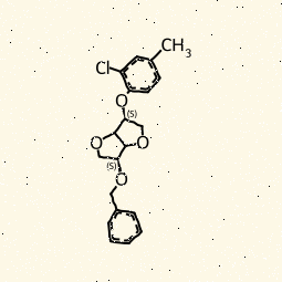 Cc1ccc(O[C@H]2COC3C2OC[C@@H]3OCc2ccccc2)c(Cl)c1